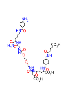 NC(=O)C(CCCCNC(=O)c1ccc(N)cc1)NC(=O)CNC(=O)COCCOCCNC(=O)C(CCC(=O)O)NC(=O)CCC(NC(=O)C1CCC(CNC(=O)CCCC(=O)O)CC1)C(=O)O